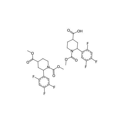 COC(=O)C1CCN(C(=O)OC)C(c2cc(F)c(F)cc2F)C1.COC(=O)N1CCC(C(=O)O)CC1c1cc(F)c(F)cc1F